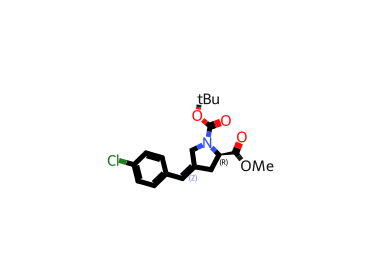 COC(=O)[C@H]1C/C(=C/c2ccc(Cl)cc2)CN1C(=O)OC(C)(C)C